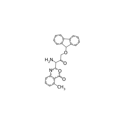 Cc1cccc2nc(C(N)C(=O)COC3c4ccccc4-c4ccccc43)oc(=O)c12